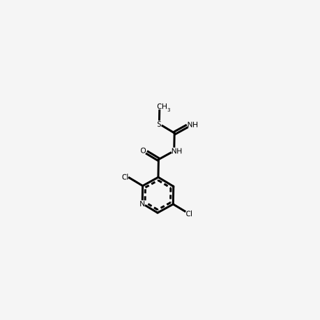 CSC(=N)NC(=O)c1cc(Cl)cnc1Cl